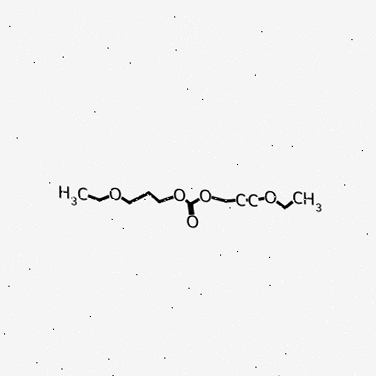 CCOCCCOC(=O)OCCCOCC